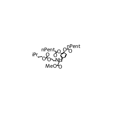 CCCCCC(=O)Oc1ccc(C[C@H](NCCOC(=O)OCCC(C)C)C(=O)OC)cc1OC(=O)CCCCC